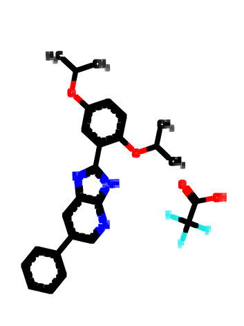 CC(C)Oc1ccc(OC(C)C)c(-c2nc3cc(-c4ccccc4)cnc3[nH]2)c1.O=C(O)C(F)(F)F